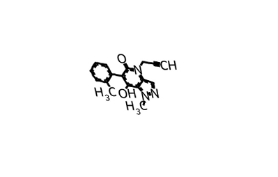 C#CCn1c(=O)c(-c2ccccc2C)c(O)c2c1cnn2C